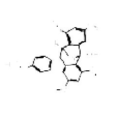 COc1ccc([C@H]2c3cc(OC)cc(OC)c3[C@@]3(O)O[C@H]2c2c(OC)cc(OC)cc23)cc1